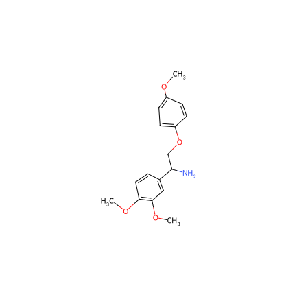 COc1ccc(OCC(N)c2ccc(OC)c(OC)c2)cc1